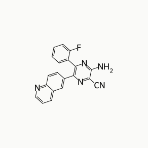 N#Cc1nc(-c2ccc3ncccc3c2)c(-c2ccccc2F)nc1N